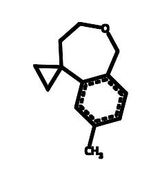 Cc1ccc2c(c1)C1(CCOC2)CC1